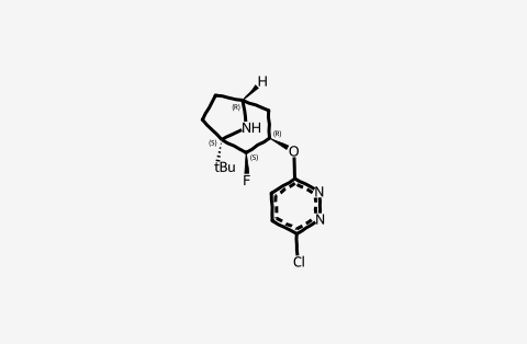 CC(C)(C)[C@@]12CC[C@H](C[C@@H](Oc3ccc(Cl)nn3)[C@H]1F)N2